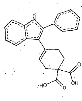 O=C(O)C1(C(=O)O)CC=C(c2c(-c3ccccc3)[nH]c3ccccc23)CC1